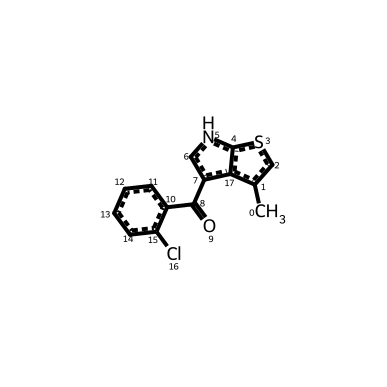 Cc1csc2[nH]cc(C(=O)c3ccccc3Cl)c12